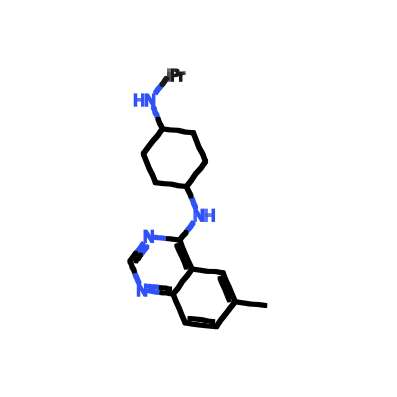 Cc1ccc2ncnc(NC3CCC(NC(C)C)CC3)c2c1